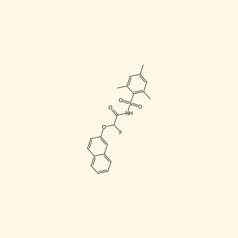 Cc1cc(C)c(S(=O)(=O)NC(=O)C(F)Oc2ccc3ccccc3c2)c(C)c1